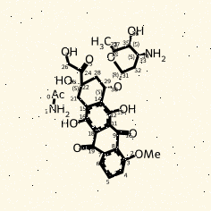 CC(N)=O.COc1cccc2c1C(=O)c1c(O)c3c(c(O)c1C2=O)C[C@@](O)(C(=O)CO)C[C@@H]3O[C@H]1C[C@H](N)[C@H](O)[C@H](C)O1